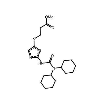 COC(=O)CCSc1cnc(NC(=O)N(C2CCCCC2)C2CCCCC2)s1